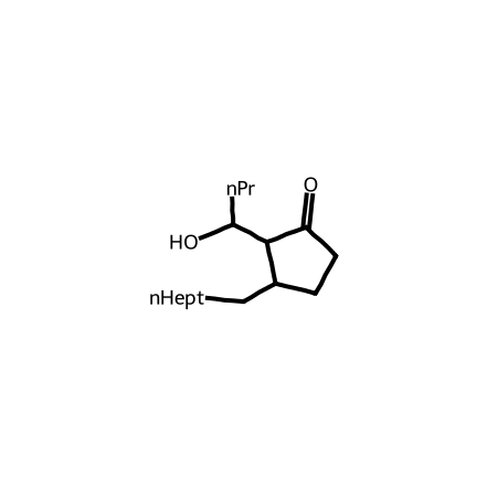 CCCCCCCCC1CCC(=O)C1C(O)CCC